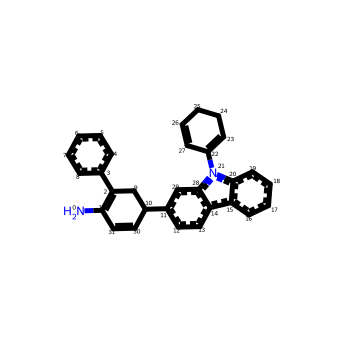 NC1=C(c2ccccc2)CC(c2ccc3c4ccccc4n(C4=CCCC=C4)c3c2)C=C1